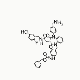 Cl.NCc1ccc(N2C(=O)C(CC(=O)NCc3ccccc3F)C(=O)N(Cc3ccc(NC(=O)OCc4ccccc4)cc3)c3ccccc32)cc1